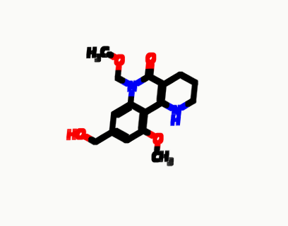 COCn1c(=O)c2c(c3c(OC)cc(CO)cc31)NCCC2